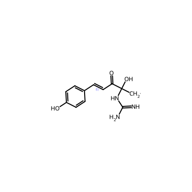 [CH2]C(O)(NC(=N)N)C(=O)/C=C/c1ccc(O)cc1